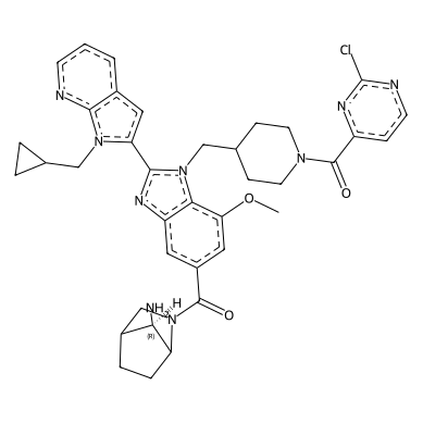 COc1cc(C(=O)N2CC3CCC2[C@@H]3N)cc2nc(-c3cc4cccnc4n3CC3CC3)n(CC3CCN(C(=O)c4ccnc(Cl)n4)CC3)c12